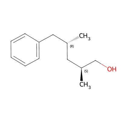 C[C@H](CO)C[C@@H](C)Cc1ccccc1